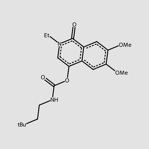 CCn1cc(OC(=O)NCCC(C)(C)C)c2cc(OC)c(OC)cc2c1=O